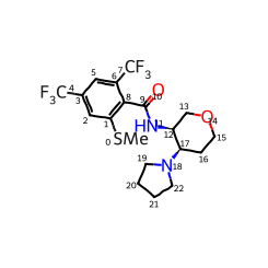 CSc1cc(C(F)(F)F)cc(C(F)(F)F)c1C(=O)N[C@H]1COCC[C@H]1N1CCCC1